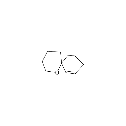 C1=CC2(CCC1)CCCCO2